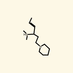 CC=CC(CCN1CCCCC1)[SiH](C)C